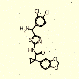 NC(c1ccc(Cl)c(Cl)c1)c1cnc(NC(=O)C2(c3ccc4c(c3)OCO4)CC2)s1